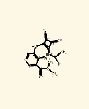 C=C(c1cncc(Nc2c(N[C@@H](C)C(C)C)c(=O)c2=O)c1O)N(C)C